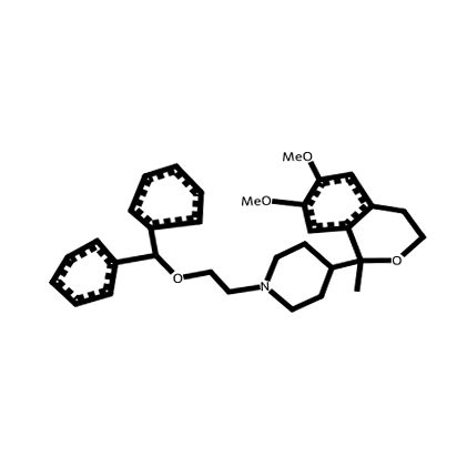 COc1cc2c(cc1OC)C(C)(C1CCN(CCOC(c3ccccc3)c3ccccc3)CC1)OCC2